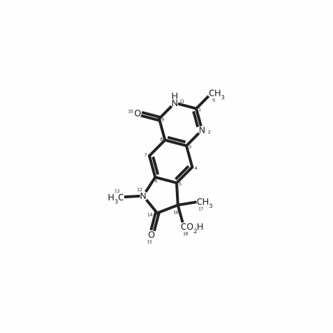 Cc1nc2cc3c(cc2c(=O)[nH]1)N(C)C(=O)C3(C)C(=O)O